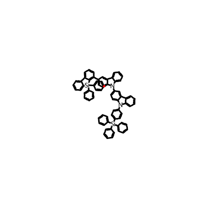 c1ccc([Si](c2ccccc2)(c2ccccc2)c2ccc(-n3c4ccccc4c4cc(-n5c6ccccc6c6cc(-c7cccc8c7[Si](c7ccccc7)(c7ccccc7)c7ccccc7-8)ccc65)ccc43)cc2)cc1